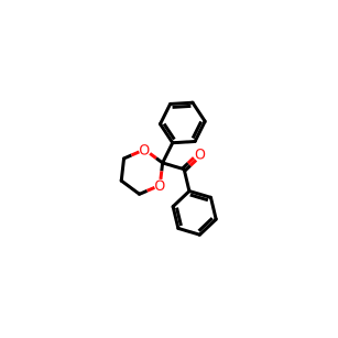 O=C(c1ccccc1)C1(c2ccccc2)OCCCO1